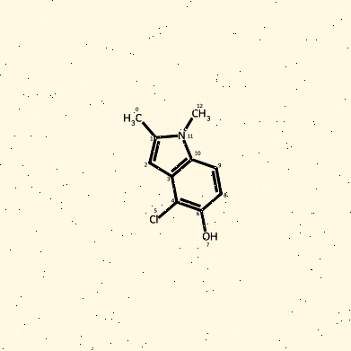 Cc1cc2c(Cl)c(O)ccc2n1C